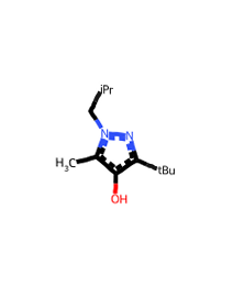 Cc1c(O)c(C(C)(C)C)nn1CC(C)C